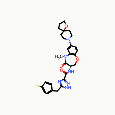 CN1C(=O)[C@H](NC(=O)c2n[nH]c(Cc3ccc(F)cc3)n2)COc2ccc(N3CCC4(CCCO4)CC3)cc21